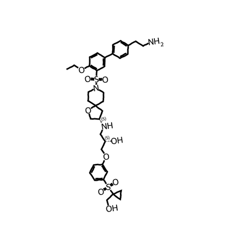 CCOc1ccc(-c2ccc(CCN)cc2)cc1S(=O)(=O)N1CCC2(CC1)C[C@H](NC[C@H](O)COc1cccc(S(=O)(=O)C3(CO)CC3)c1)CO2